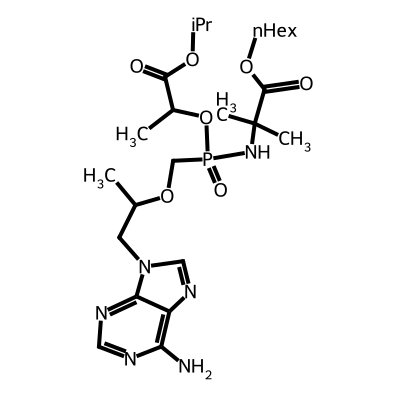 CCCCCCOC(=O)C(C)(C)NP(=O)(COC(C)Cn1cnc2c(N)ncnc21)OC(C)C(=O)OC(C)C